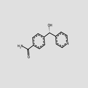 NC(=O)c1ccc([C@H](O)c2ccncc2)cc1